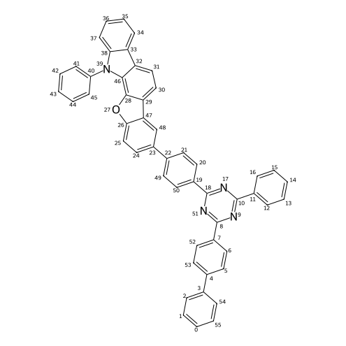 c1ccc(-c2ccc(-c3nc(-c4ccccc4)nc(-c4ccc(-c5ccc6oc7c(ccc8c9ccccc9n(-c9ccccc9)c87)c6c5)cc4)n3)cc2)cc1